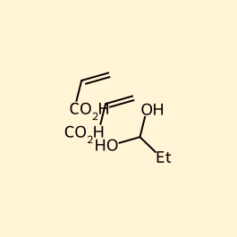 C=CC(=O)O.C=CC(=O)O.CCC(O)O